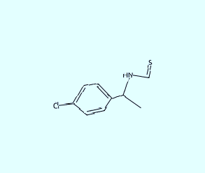 CC(NC=S)c1ccc(Cl)cc1